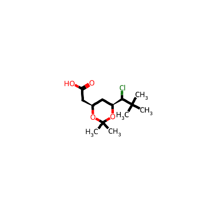 CC1(C)O[C@@H](CC(=O)O)C[C@@H](C(Cl)C(C)(C)C)O1